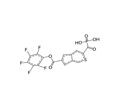 O=C(Oc1c(F)c(F)c(F)c(F)c1F)c1cc2csc(C(=O)P(=O)(O)O)cc-2c1